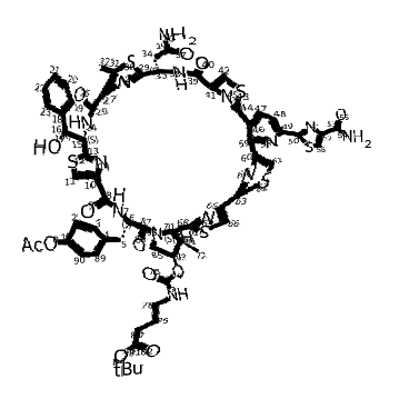 CC(=O)Oc1ccc(C[C@@H]2NC(=O)c3csc(n3)[C@H]([C@H](O)c3ccccc3)NC(=O)c3nc(sc3C)[C@H](CC(N)=O)NC(=O)c3csc(n3)-c3ccc(-c4nc(C(N)=O)cs4)nc3-c3csc(n3)-c3csc(n3)[C@@H]3[C@@H](C)[C@@H](OC(=O)NCCCC(=O)OC(C)(C)C)CN3C2=O)cc1